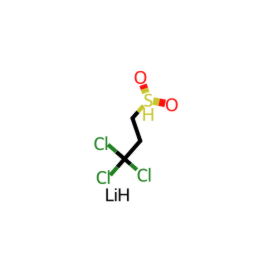 O=[SH](=O)CCC(Cl)(Cl)Cl.[LiH]